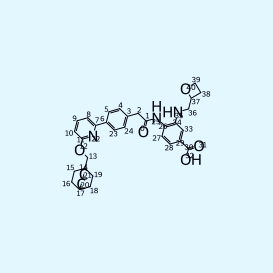 O=C(Cc1ccc(-c2cccc(OCC34CCC(CC3)CC4)n2)cc1)Nc1ccc(C(=O)O)cc1NCC1CCO1